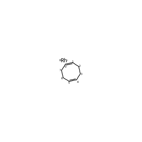 C1=CCCC=CCC1.[Rh]